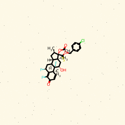 CC(=O)O[C@]1(C(=S)OCc2ccc(Cl)cc2)[C@H](C)C[C@H]2[C@@H]3C[C@H](F)C4=C(F)C(=O)C=C[C@]4(C)[C@@]3(F)[C@@H](O)C[C@@]21C